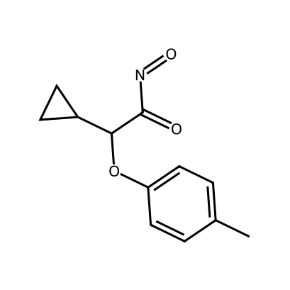 Cc1ccc(OC(C(=O)N=O)C2CC2)cc1